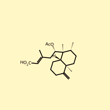 C=C1CCC[C@@H]2[C@@](C)([C@H](C/C(C)=C/C(=O)O)OC(C)=O)[C@H](C)CC[C@@]12C